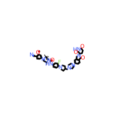 COc1cc(N2C[C@@H](C)N(C(=O)Nc3ccc(N4CCC(CN5CCN(c6ccc7c(c6)CN([C@H]6CCC(=O)NC6=O)C7=O)CC5)CC4)c(F)c3)C[C@@H]2C)ccc1C#N